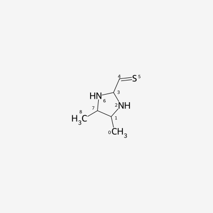 CC1NC(C=S)NC1C